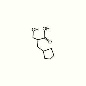 O=C(O)C(CO)CC1CCCC1